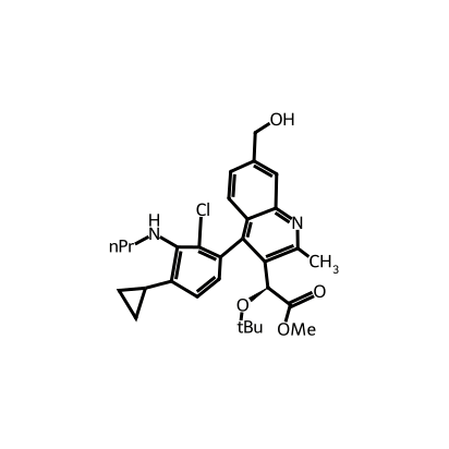 CCCNc1c(C2CC2)ccc(-c2c([C@H](OC(C)(C)C)C(=O)OC)c(C)nc3cc(CO)ccc23)c1Cl